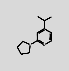 CC(C)c1ccnc(N2CCCC2)c1